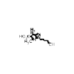 C#CCCCCn1ncc2c(N)c(C(=O)O)c(C)nc21